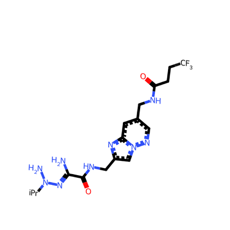 CC(C)N(N)/N=C(\N)C(=O)NCc1cn2ncc(CNC(=O)CCC(F)(F)F)cc2n1